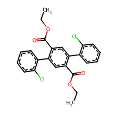 CCOC(=O)c1cc(-c2ccccc2Cl)c(C(=O)OCC)cc1-c1ccccc1Cl